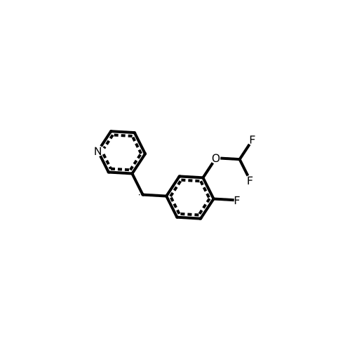 Fc1ccc([CH]c2cccnc2)cc1OC(F)F